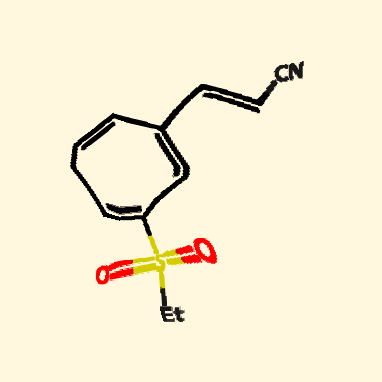 CCS(=O)(=O)c1cccc(/C=C/C#N)c1